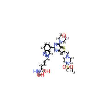 CS(=O)(=O)N1CCN(Cc2cc3nc(-c4cccc5nn(CCCCC(O)NO)cc45)nc(N4CCOCC4)c3s2)CC1